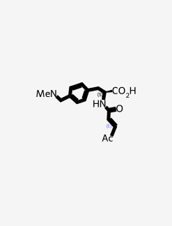 CNCc1ccc(C[C@H](NC(=O)/C=C/C(C)=O)C(=O)O)cc1